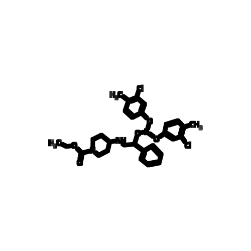 CCOC(=O)N1CCC(NCC(OB(Oc2ccc(C)c(Cl)c2)Oc2ccc(C)c(Cl)c2)c2ccccc2)CC1